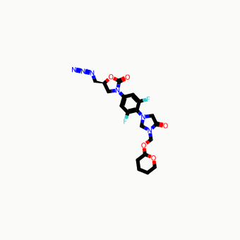 [N-]=[N+]=NC[C@@H]1CN(c2cc(F)c(N3CC(=O)N(COC4CCCCO4)C3)c(F)c2)C(=O)O1